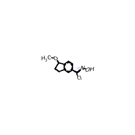 COC1CCc2cc(/C(Cl)=N/O)ccc21